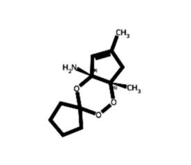 CC1=C[C@@]2(N)OC3(CCCC3)OO[C@@]2(C)C1